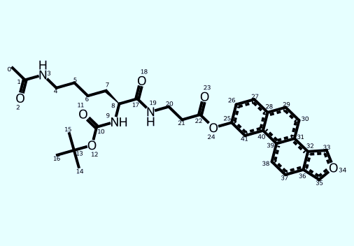 CC(=O)NCCCC[C@H](NC(=O)OC(C)(C)C)C(=O)NCCC(=O)Oc1ccc2ccc3c4cocc4ccc3c2c1